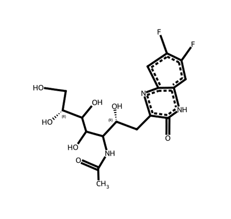 CC(=O)NC(C(O)C(O)[C@H](O)CO)[C@H](O)Cc1nc2cc(F)c(F)cc2[nH]c1=O